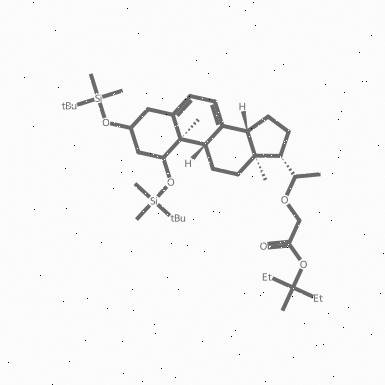 CCC(C)(CC)OC(=O)COC(C)[C@H]1CC[C@H]2C3=CC=C4CC(O[Si](C)(C)C(C)(C)C)CC(O[Si](C)(C)C(C)(C)C)[C@]4(C)[C@H]3CC[C@]12C